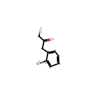 O=C(CCl)Cc1ccccc1Br